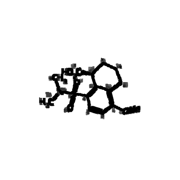 COc1ccc(S(=O)(=O)N(C)C)c2c1CCC[C@@H]2C(=O)O